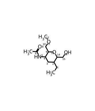 CCC1CC(NC(C)=O)C(COC)OC1CO